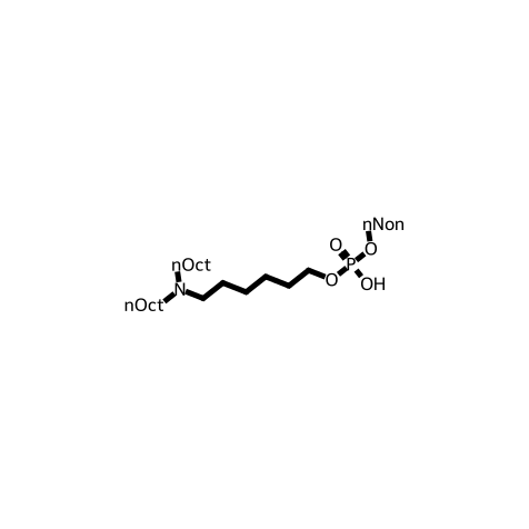 CCCCCCCCCOP(=O)(O)OCCCCCCN(CCCCCCCC)CCCCCCCC